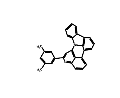 Cc1cc(C)cc(-c2cc3c4c(cccc4c4cccc5c6ccccc6n3c45)n2)c1